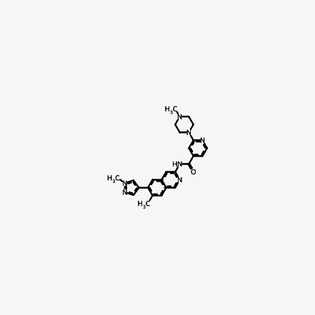 Cc1cc2cnc(NC(=O)c3ccnc(N4CCN(C)CC4)c3)cc2cc1-c1cnn(C)c1